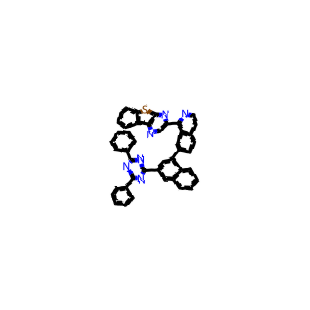 c1ccc(-c2nc(-c3ccccc3)nc(-c3cc(-c4ccc5ccnc(-c6cnc7c(n6)sc6ccccc67)c5c4)c4ccccc4c3)n2)cc1